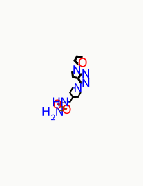 NS(=O)(=O)NCC1CCN(c2ncnc3c2ccn3-c2ccco2)CC1